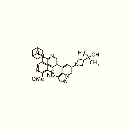 COc1ncc(CN2C3CC2CN(c2ccc(-c4cc(N5CC(C(C)(C)O)C5)cn5ncc(C#N)c45)cn2)C3)cc1F